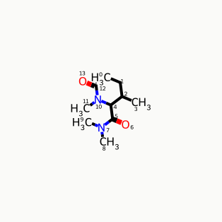 CCC(C)C(C(=O)N(C)C)N(C)[C]=O